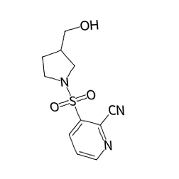 N#Cc1ncccc1S(=O)(=O)N1CCC(CO)C1